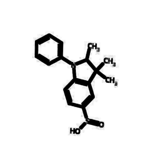 CC1N(c2ccccc2)c2ccc(S(=O)O)cc2C1(C)C